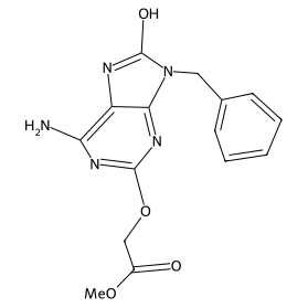 COC(=O)COc1nc(N)c2nc(O)n(Cc3ccccc3)c2n1